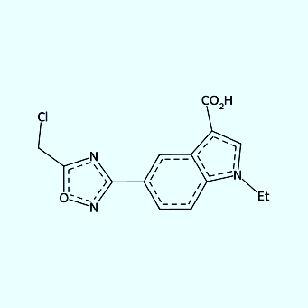 CCn1cc(C(=O)O)c2cc(-c3noc(CCl)n3)ccc21